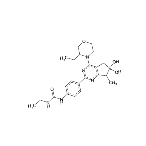 CCNC(=O)Nc1ccc(-c2nc3c(c(N4CCOCC4CC)n2)CS(O)(O)C3C)cc1